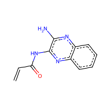 C=CC(=O)Nc1nc2ccccc2nc1N